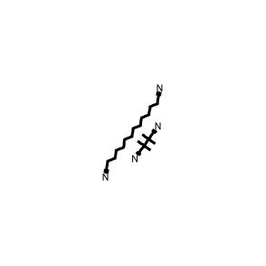 CC(C)(C#N)C(C)(C)C#N.N#CCCCCCCCCCCCCC#N